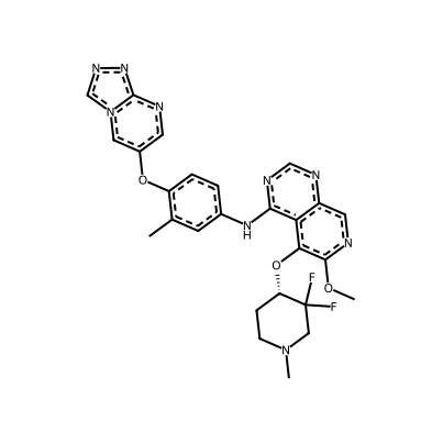 COc1ncc2ncnc(Nc3ccc(Oc4cnc5nncn5c4)c(C)c3)c2c1O[C@H]1CCN(C)CC1(F)F